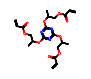 C=CC(=O)OCC(C)Oc1nc(OC(C)COC(=O)C=C)nc(OC(C)COC(=O)C=C)n1